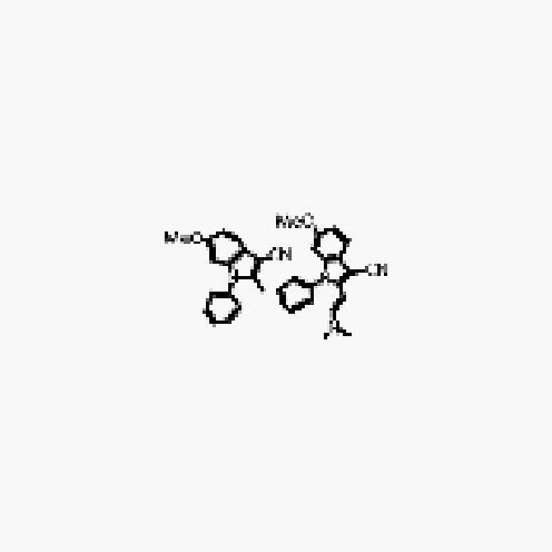 COc1ccc2c(C#N)c(C)n(-c3ccccc3)c2c1.COc1ccc2c(C#N)c(C=CN(C)C)n(-c3ccccc3)c2c1